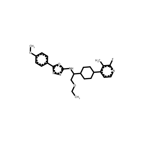 CCOCC(Nc1nnc(-c2ccc(OC)cc2)o1)C1CCC(c2ccnc(F)c2C)CC1